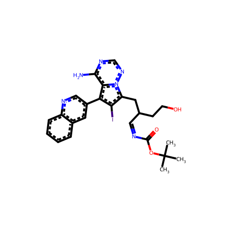 CC(C)(C)OC(=O)/N=C\C(CCO)Cc1c(I)c(-c2cnc3ccccc3c2)c2c(N)ncnn12